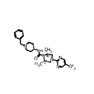 C[C@@H]1CN(c2ncc(C(F)(F)F)cn2)C[C@H](C)N1C(=O)NC1CCN(Cc2ccccc2)CC1